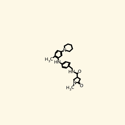 Cc1ccc(N2CCCCC2)cc1Nc1ccc(CNC(=O)C2CC(=O)N(C)C2)cc1